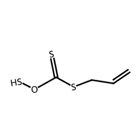 C=CCSC(=S)OS